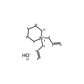 C=CC[N+]1(CC=C)CCCCC1.[OH-]